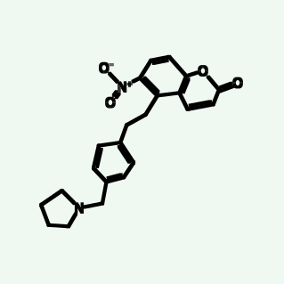 O=c1ccc2c(CCc3ccc(CN4CCCC4)cc3)c([N+](=O)[O-])ccc2o1